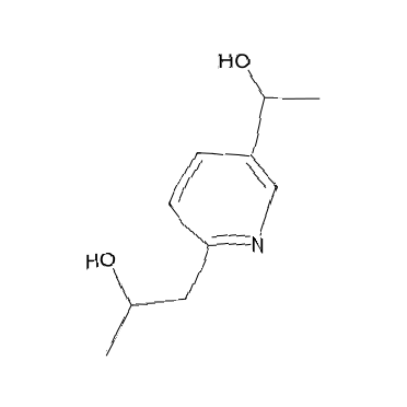 CC(O)Cc1ccc(C(C)O)cn1